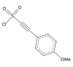 COc1ccc(C#CS(=O)(=O)Cl)cc1